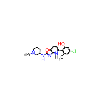 CCCN1CCCC(Nc2nc3nc(-c4c(C)cc(Cl)cc4O)ccc3o2)C1